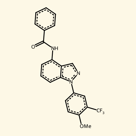 COc1ccc(-n2ncc3c(NC(=O)c4ccccc4)cccc32)cc1C(F)(F)F